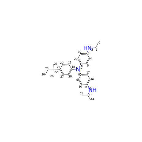 CCNc1ccc(N(c2ccc(NC(C)C)cc2)c2ccc(C(C)(C)CC)cc2)cc1